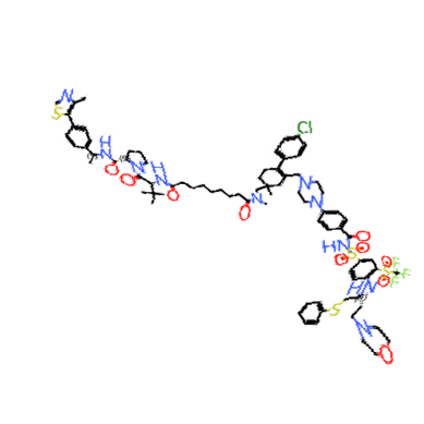 Cc1ncsc1-c1ccc([C@H](C)NC(=O)[C@@H]2CCCN2C(=O)C(NC(=O)CCCCCCCC(=O)N(C)CC2(C)CCC(c3ccc(Cl)cc3)=C(CN3CCN(c4ccc(C(=O)NS(=O)(=O)c5ccc(N[C@H](CCN6CCOCC6)CSc6ccccc6)c(S(=O)(=O)C(F)(F)F)c5)cc4)CC3)C2)C(C)(C)C)cc1